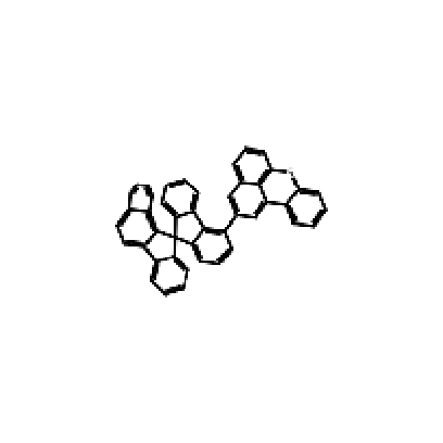 c1ccc2c(c1)Sc1cccc3cc(-c4cccc5c4-c4ccccc4C54c5ccccc5-c5ccc6ccccc6c54)cc-2c13